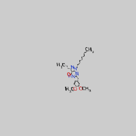 CCCCCCCCCCn1nc(CCC)c2c(=O)[nH]c(Cc3ccc(OC)c(OC)c3)nc21